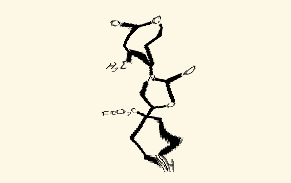 CCOC(=O)C1(C2CN(C3=C(C)C(=O)OC3)C(=O)O2)CCNCC1